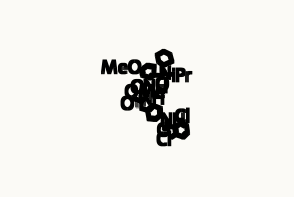 COC(=O)[C@H](Cc1ccc(NC(=O)c2c(Cl)cccc2Cl)cc1)NC(=O)Nc1cc(OC)ccc1C(=O)N(C(C)C)C1CCCCC1